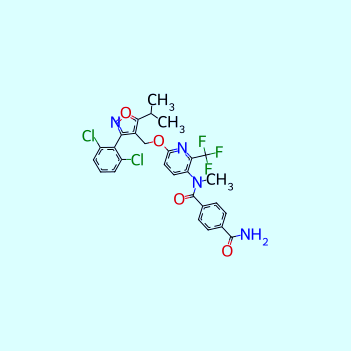 CC(C)c1onc(-c2c(Cl)cccc2Cl)c1COc1ccc(N(C)C(=O)c2ccc(C(N)=O)cc2)c(C(F)(F)F)n1